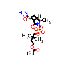 C[C@H]1[C@@H]2C[C@@H](C(N)=O)C2C(=O)N1OS(=O)(=O)OCC(C)(C)CCOC(=O)C(C)(C)C